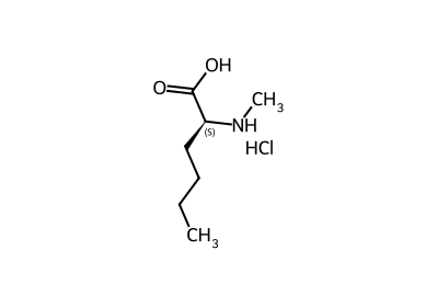 CCCC[C@H](NC)C(=O)O.Cl